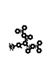 Cc1cc(-c2cncnc2)ccc1-c1cc(-n2c3ccccc3c3cc(N(c4ccccc4)c4ccccc4)ccc32)cc(-n2c3ccccc3c3cc(N(c4ccccc4)c4ccccc4)ccc32)c1